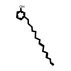 C=CCC=CCC=CCCCCCCCc1cccc(O)c1